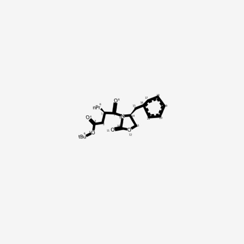 CCC[C@H](CC(=O)OC(C)(C)C)C(=O)N1C(=O)OC[C@@H]1Cc1ccccc1